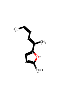 C/C=C\C=C(/C)c1ccc(C=O)o1